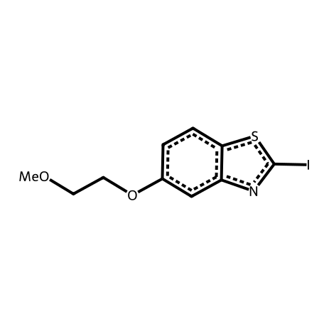 COCCOc1ccc2sc(I)nc2c1